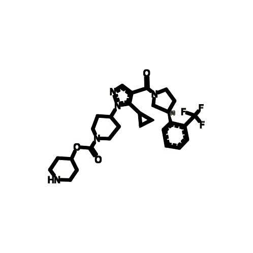 O=C(OC1CCNCC1)N1CCC(n2ncc(C(=O)N3CC[C@@H](c4ccccc4C(F)(F)F)C3)c2C2CC2)CC1